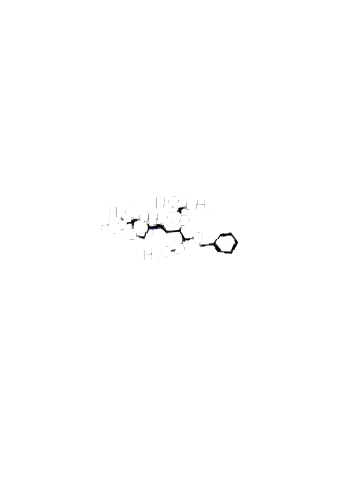 CO[C@H](OCc1ccccc1)C(C/C=C1\COC(C)(C)O1)OC(C)(C)O